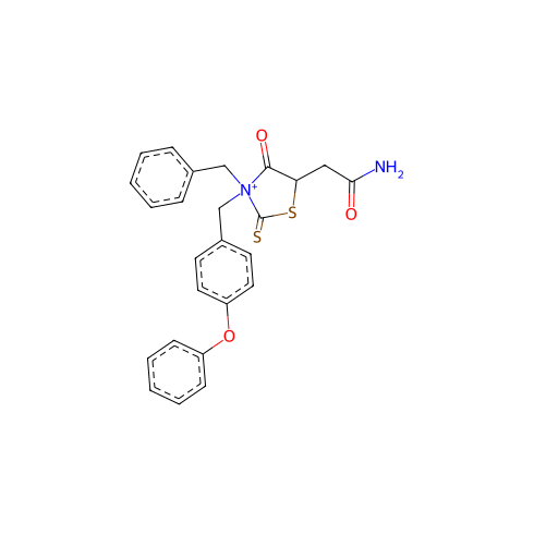 NC(=O)CC1SC(=S)[N+](Cc2ccccc2)(Cc2ccc(Oc3ccccc3)cc2)C1=O